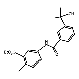 CCOC(=O)c1cc(NC(=O)c2cccc(C(C)(C)C#N)c2)ccc1C